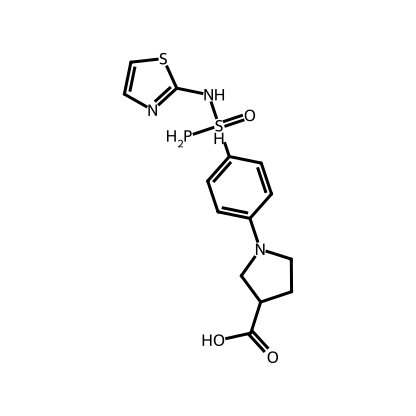 O=C(O)C1CCN(c2ccc([SH](=O)(P)Nc3nccs3)cc2)C1